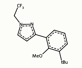 COc1c(-c2ccn(CC(F)(F)F)n2)cccc1C(C)(C)C